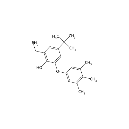 BCc1cc(C(C)(C)C)cc(Oc2cc(C)c(C)c(C)c2)c1O